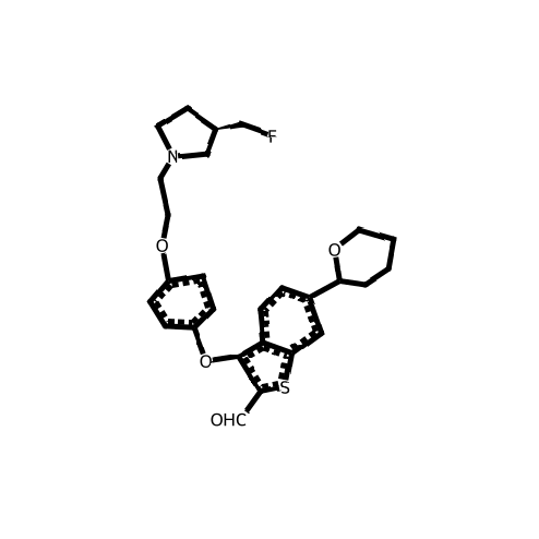 O=Cc1sc2cc(C3CCCCO3)ccc2c1Oc1ccc(OCCN2CC[C@@H](CF)C2)cc1